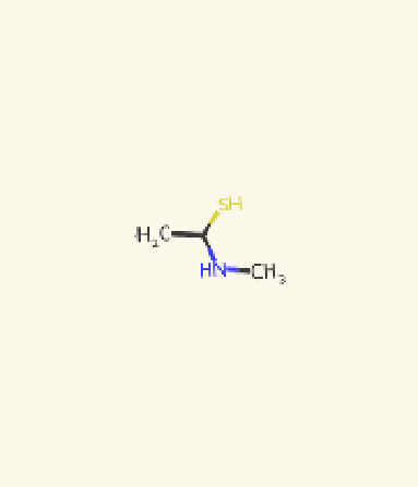 [CH2]C(S)NC